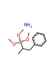 CO[Si](OC)(OC)C(C)Cc1ccccc1.N